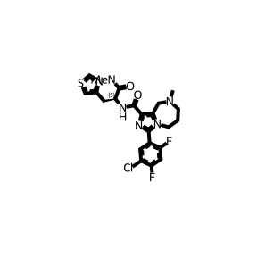 CNC(=O)[C@H](Cc1cscn1)NC(=O)c1nc(-c2cc(Cl)c(F)cc2F)n2c1CN(C)CCC2